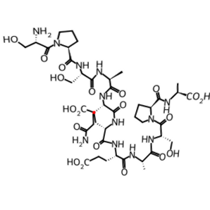 C[C@H](NC(=O)[C@@H]1CCCN1C(=O)[C@H](CO)NC(=O)[C@H](C)NC(=O)[C@H](CCC(=O)O)NC(=O)[C@H](CCC(=O)O)NC(=O)[C@H](CCC(N)=O)NC(=O)[C@H](C)NC(=O)[C@H](CO)NC(=O)[C@@H]1CCCN1C(=O)[C@@H](N)CO)C(=O)O